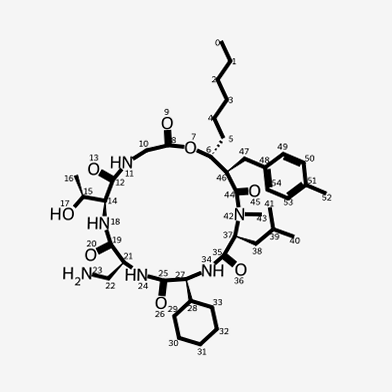 CCCCCC[C@H]1OC(=O)CNC(=O)[C@H]([C@H](C)O)NC(=O)[C@H](CN)NC(=O)[C@H](C2CCCCC2)NC(=O)[C@H](CC(C)C)N(C)C(=O)[C@@H]1Cc1ccc(C)cc1